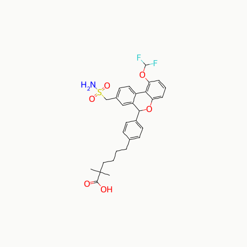 CC(C)(CCCCc1ccc(C2Oc3cccc(OC(F)F)c3-c3ccc(CS(N)(=O)=O)cc32)cc1)C(=O)O